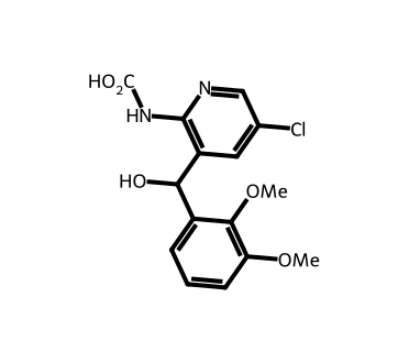 COc1cccc(C(O)c2cc(Cl)cnc2NC(=O)O)c1OC